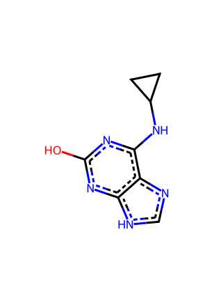 Oc1nc(NC2CC2)c2nc[nH]c2n1